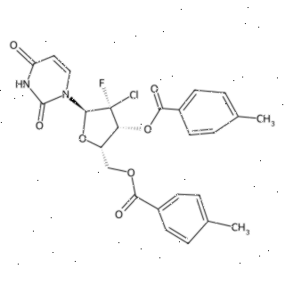 Cc1ccc(C(=O)OC[C@@H]2O[C@@H](n3ccc(=O)[nH]c3=O)[C@@](F)(Cl)[C@@H]2OC(=O)c2ccc(C)cc2)cc1